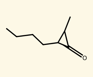 CCCCC1C(=O)C1C